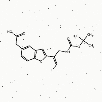 CC(C)(C)OC(=O)NC/C(=C/F)c1cc2cc(CC(=O)O)ccc2o1